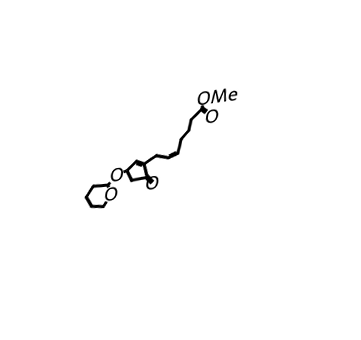 COC(=O)CCC/C=C\CC1=CC(OC2CCCCO2)CC1=O